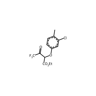 CCOC(=O)C(Oc1ccc(C)c(Cl)c1)C(=O)C(F)(F)F